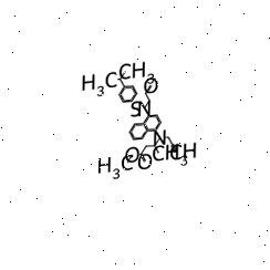 C#CCN(c1ccc(N(CC=O)Sc2ccc(C(C)C)cc2)c2ccccc12)C(C)CC(=O)OC